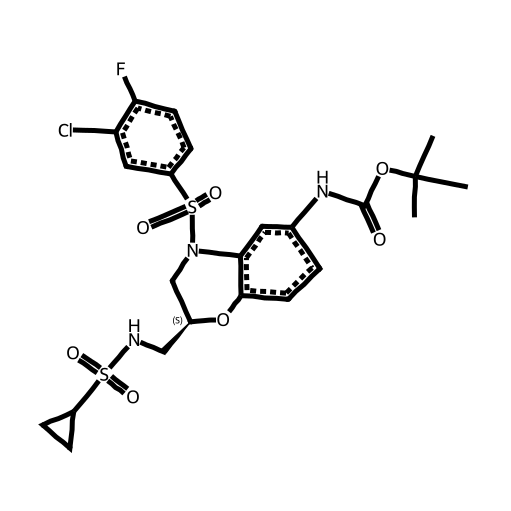 CC(C)(C)OC(=O)Nc1ccc2c(c1)N(S(=O)(=O)c1ccc(F)c(Cl)c1)C[C@H](CNS(=O)(=O)C1CC1)O2